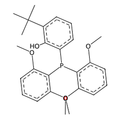 COc1cccc(OC)c1P(c1cccc(C(C)(C)C)c1O)c1c(OC)cccc1OC